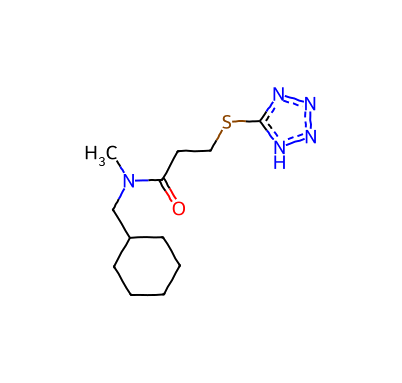 CN(CC1CCCCC1)C(=O)CCSc1nnn[nH]1